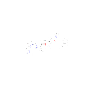 CC[C@H](C)[C@@H]([C@@H](CC(=O)N1CCC[C@H]1[C@H](OC)[C@@H](C)C(=O)N(C)CCc1ccccc1[N+](=O)[O-])OC)N(C)C(=O)[C@@H](NC(=O)[C@H](C)N(C)C)C(C)C